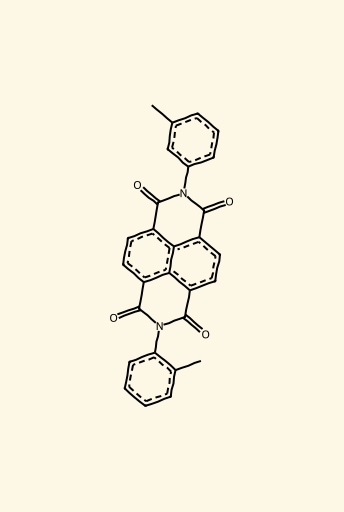 Cc1cccc(N2C(=O)c3ccc4c5c(ccc(c35)C2=O)C(=O)N(c2ccccc2C)C4=O)c1